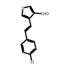 O=Cc1cscc1C=Cc1ccc(Cl)cc1